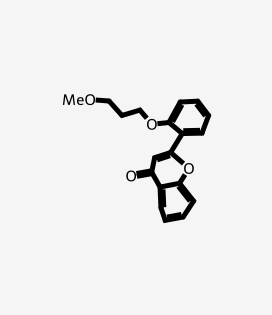 COCCCOc1ccccc1-c1cc(=O)c2ccccc2o1